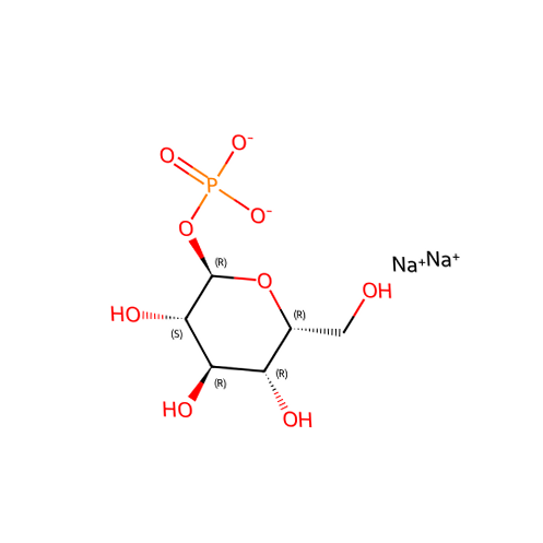 O=P([O-])([O-])O[C@H]1O[C@H](CO)[C@H](O)[C@@H](O)[C@@H]1O.[Na+].[Na+]